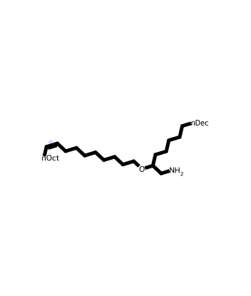 CCCCCCCC/C=C\CCCCCCCCOC(CN)CCCCCCCCCCCCCCC